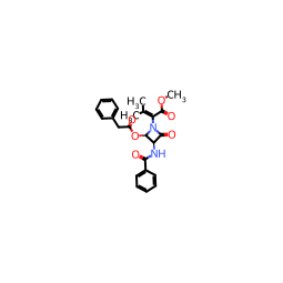 COC(=O)C(=C(C)C)N1C(=O)[C@@H](NC(=O)c2ccccc2)[C@H]1OC(=O)Cc1ccccc1